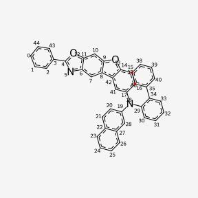 c1ccc(-c2nc3cc4c(cc3o2)oc2ccc(N(c3ccc5ccccc5c3)c3ccccc3-c3ccccc3)cc24)cc1